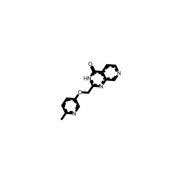 Cc1ccc(OCc2nc3cnccc3c(=O)[nH]2)cn1